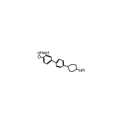 CCCCCCCOc1ccc(-c2ccc(C3CCC(CCC)CC3)cc2)cc1